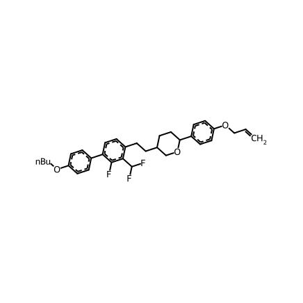 C=CCOc1ccc(C2CCC(CCc3ccc(-c4ccc(OCCCC)cc4)c(F)c3C(F)F)CO2)cc1